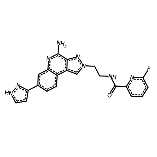 Nc1nc2cc(-c3cc[nH]n3)ccc2c2cn(CCNC(=O)c3cccc(F)n3)nc12